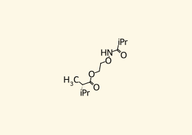 CC(C)C(=O)NOCCOC(=O)[C@@H](C)C(C)C